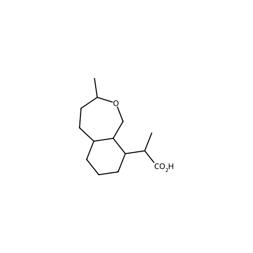 CC1CCC2CCCC(C(C)C(=O)O)C2CO1